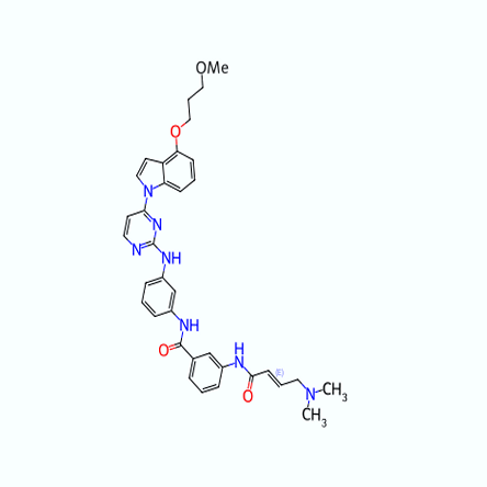 COCCCOc1cccc2c1ccn2-c1ccnc(Nc2cccc(NC(=O)c3cccc(NC(=O)/C=C/CN(C)C)c3)c2)n1